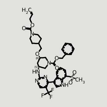 C=CCOC(=O)N1CCC(CO[C@@H]2C[C@H](Nc3ncc(C(F)(F)F)c(-c4c[nH]c5c(S(C)(=O)=O)cccc45)n3)CN(C(=O)OCc3ccccc3)C2)CC1